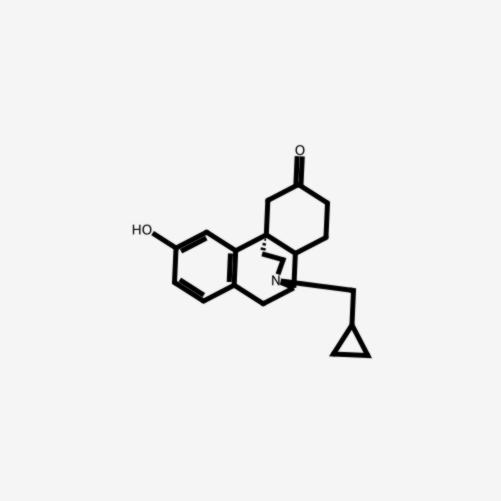 O=C1CCC2C3Cc4ccc(O)cc4[C@@]2(CCN3CC2CC2)C1